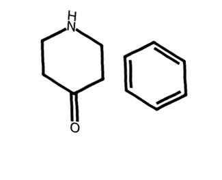 O=C1CCNCC1.c1ccccc1